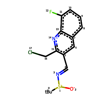 CC(C)(C)[S+]([O-])/N=C/c1cc2cccc(F)c2nc1CCl